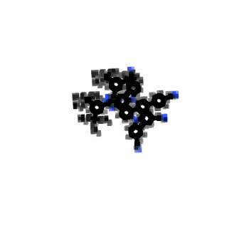 CC(C)(C)c1cc(-c2nc(-c3cc(C(C)(C)C)cc(C(C)(C)C)c3)nc(-c3ccc(-n4c5ccc(C#N)cc5c5cc(C#N)ccc54)c(-c4ccc(-c5ccc(C#N)cc5)cc4-n4c5ccc(C#N)cc5c5cc(C#N)ccc54)c3)n2)cc(C(C)(C)C)c1